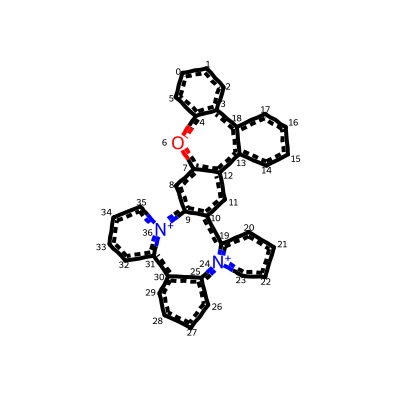 c1ccc2c(c1)oc1cc3c(cc1c1ccccc21)c1cccc[n+]1c1ccccc1c1cccc[n+]13